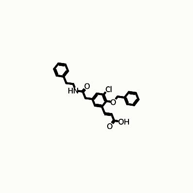 O=C(O)/C=C/c1cc(CC(=O)NCCc2ccccc2)cc(Cl)c1OCc1ccccc1